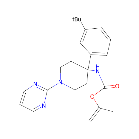 C=C(C)OC(=O)NC1(c2cccc(C(C)(C)C)c2)CCN(c2ncccn2)CC1